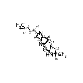 C[C@@H](CCC(C)(C)C(F)(F)F)c1cn2ncc(CN3C[C@](C)(C(F)(F)F)NC3=O)cc2n1